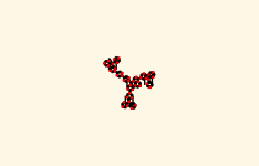 c1ccc(-n2c3ccccc3c3ccc(-c4ccc(-c5ccc(N(c6ccc(-c7ccc(-n8c9ccccc9c9ccccc98)cc7)cc6)c6ccc(-c7ccc8c9ccccc9n(-c9ccccc9)c8c7)c7ccccc67)cc5)cc4)cc32)cc1